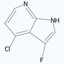 Fc1c[nH]c2nccc(Cl)c12